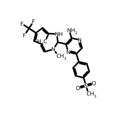 C\C1=C/C(C(F)(F)F)=C\C=C\N(C)C(c2nc(-c3ccc(S(C)(=O)=O)cc3)cnc2N)N1